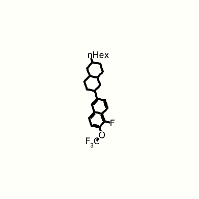 CCCCCCC1CCC2CC(c3ccc4c(F)c(OC(F)(F)F)ccc4c3)CCC2C1